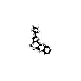 CCOc1nc2ccccc2nc1-c1ccc(-c2nccs2)s1